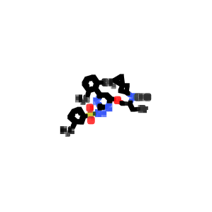 Cc1cccc(S(=O)(=O)Nc2nc(OC[C@H](CC(C)C)N(C=O)C3CC4(CC4)C3)cc(-c3c(C)cccc3C)n2)c1